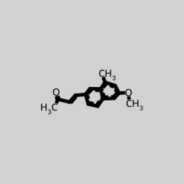 COc1cc(C)c2cc(/C=C/C(C)=O)ccc2c1